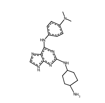 CN(C)c1ccc(Nc2nc(NC3CCC(N)CC3)nc3[nH]cnc23)cc1